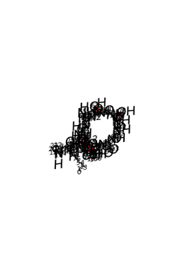 CCC(C)CCCCCCC(=O)NC(Cc1c[nH]c2ccccc12)C(=O)NC(CC(N)=O)C(=O)NC(CC(=O)O)C(=O)NC1C(=O)NCC(=O)NC(CCCN)C(=O)NC(CC(=O)O)C(=O)NC(C)C(=O)NC(CC(=O)O)C(=O)NCC(=O)NC(C)C(=O)NC(CCC(=O)O)C(=O)NC(Cc2c[nH]c3ccccc23)C(=O)OC1C